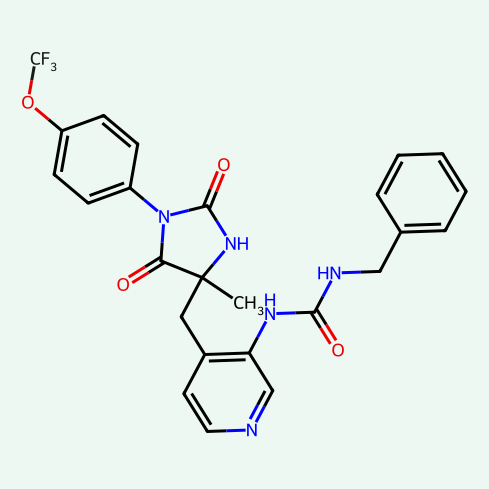 CC1(Cc2ccncc2NC(=O)NCc2ccccc2)NC(=O)N(c2ccc(OC(F)(F)F)cc2)C1=O